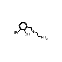 CC(C)c1cccc(C=NCCN)c1O